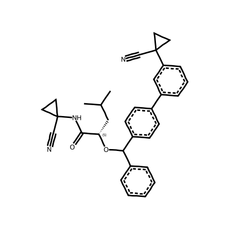 CC(C)C[C@H](OC(c1ccccc1)c1ccc(-c2cccc(C3(C#N)CC3)c2)cc1)C(=O)NC1(C#N)CC1